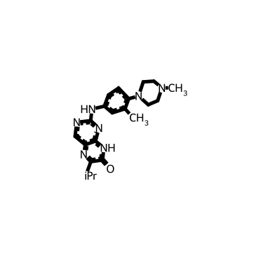 Cc1cc(Nc2ncc3nc(C(C)C)c(=O)[nH]c3n2)ccc1N1CCN(C)CC1